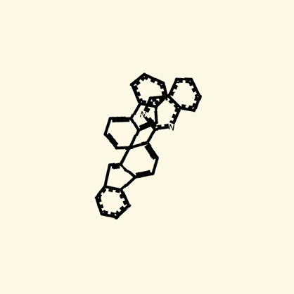 C1=CC2(C3=Cc4ccccc4C3=C1)C1=Cc3ccccc3C1=CC=C2c1ncc2ccccc2n1